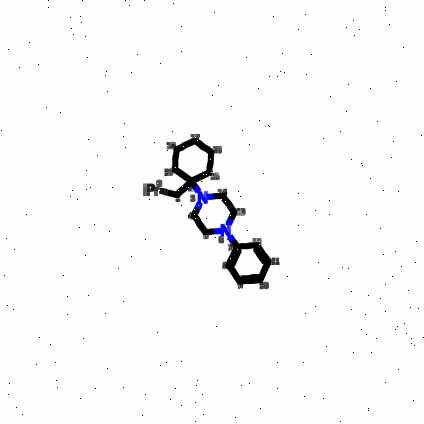 CC(C)CC1(N2CCN(c3ccccc3)CC2)CCCCC1